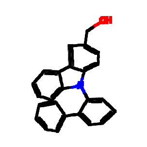 OCc1ccc2c(c1)c1ccccc1n2-c1ccccc1-c1ccccc1